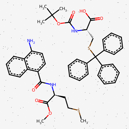 CC(C)(C)OC(=O)N[C@@H](CSC(c1ccccc1)(c1ccccc1)c1ccccc1)C(=O)O.COC(=O)[C@H](CCSC)NC(=O)c1ccc(N)c2ccccc12